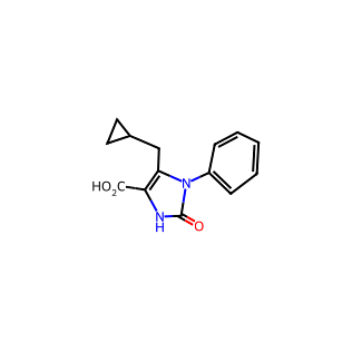 O=C(O)c1[nH]c(=O)n(-c2ccccc2)c1CC1CC1